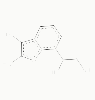 Cc1oc2c(C(O)CN)cccc2c1C